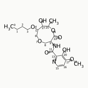 CCCCOC1COCC(NC(=O)c2nccc(OC)c2O)C(=O)OC(C)C1O